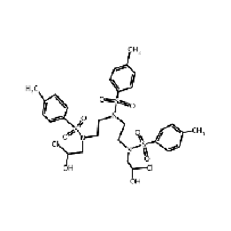 Cc1ccc(S(=O)(=O)N(CCN(CC(O)Cl)S(=O)(=O)c2ccc(C)cc2)CCN(CC(O)Cl)S(=O)(=O)c2ccc(C)cc2)cc1